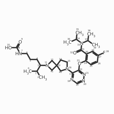 CC(C)C(CCCNC(=O)O)N1CC2(CCN(c3ncnnc3Oc3ccc(F)cc3C(=O)N(C(C)C)C(C)C)C2)C1